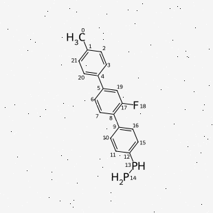 Cc1ccc(-c2ccc(-c3ccc(PP)cc3)c(F)c2)cc1